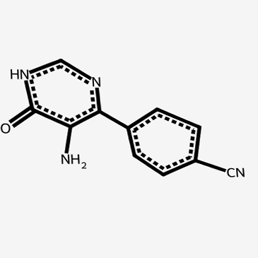 N#Cc1ccc(-c2nc[nH]c(=O)c2N)cc1